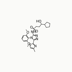 COc1cccc(OC)c1-n1c(NS(=O)(=O)CCC(O)C2CCCC2)nnc1-c1nc(C)cs1